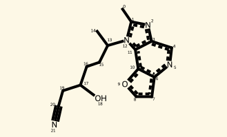 Cc1nc2cnc3ccoc3c2n1C(C)CCC(O)CC#N